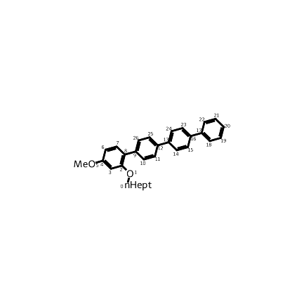 CCCCCCCOc1cc(OC)ccc1-c1ccc(-c2ccc(-c3ccccc3)cc2)cc1